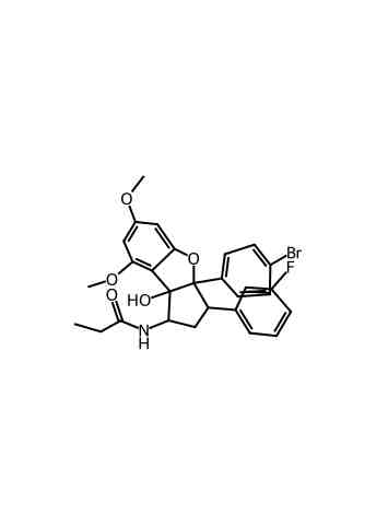 CCC(=O)NC1CC(c2cccc(F)c2)C2(c3ccc(Br)cc3)Oc3cc(OC)cc(OC)c3C12O